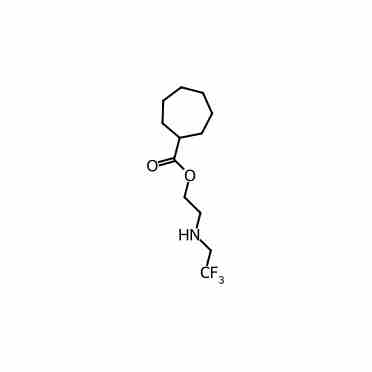 O=C(OCCNCC(F)(F)F)C1CCCCCC1